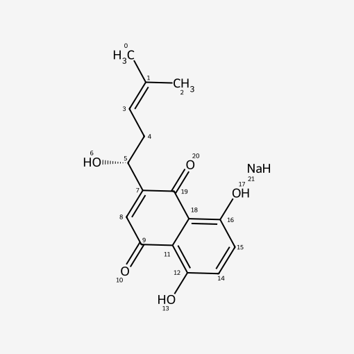 CC(C)=CC[C@@H](O)C1=CC(=O)c2c(O)ccc(O)c2C1=O.[NaH]